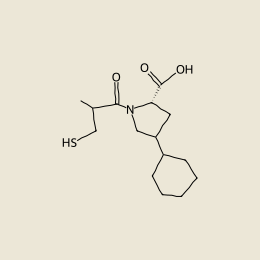 CC(CS)C(=O)N1CC(C2CCCCC2)C[C@H]1C(=O)O